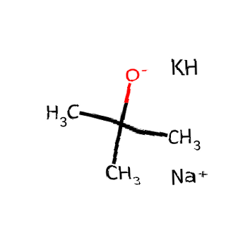 CC(C)(C)[O-].[KH].[Na+]